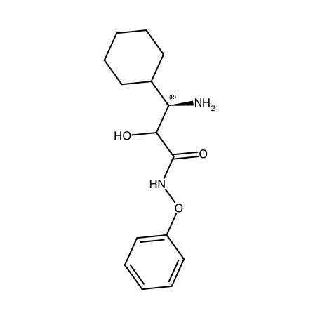 N[C@H](C1CCCCC1)C(O)C(=O)NOc1ccccc1